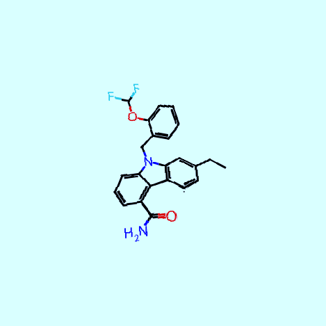 CCc1c[c]c2c3c(C(N)=O)cccc3n(Cc3ccccc3OC(F)F)c2c1